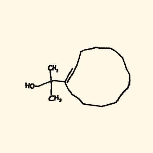 CC(C)(O)/C1=C\CCCCCCCCCC1